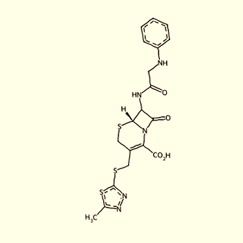 Cc1nnc(SCC2=C(C(=O)O)N3C(=O)C(NC(=O)CNc4ccccc4)[C@H]3SC2)s1